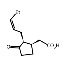 CC/C=C\C[C@@H]1C(=O)CC[C@@H]1CC(=O)O